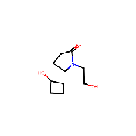 O=C1CCCN1CCO.OC1CCC1